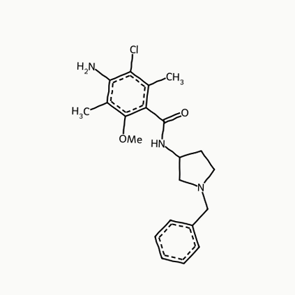 COc1c(C)c(N)c(Cl)c(C)c1C(=O)NC1CCN(Cc2ccccc2)C1